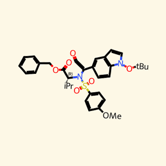 COc1ccc(S(=O)(=O)N(C(=C=O)c2ccc3c(ccn3OC(C)(C)C)c2)[C@@H](C(=O)OCc2ccccc2)C(C)C)cc1